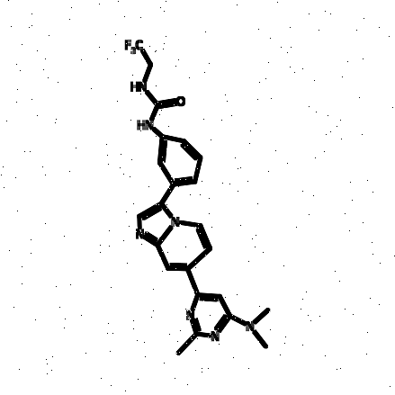 Cc1nc(-c2ccn3c(-c4cccc(NC(=O)NCC(F)(F)F)c4)cnc3c2)cc(N(C)C)n1